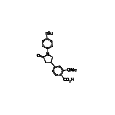 CCCCc1ccc(N2CC(c3ccc(C(=O)O)c(OC)c3)CC2=O)cc1